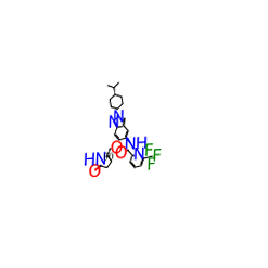 CC(C)[C@H]1CC[C@H](n2cc3cc(NC(=O)c4cccc(C(F)(F)F)n4)c(OC[C@H]4CCC(=O)N4)cc3n2)CC1